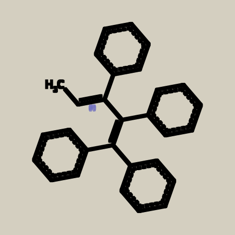 C/C=C(/C(=C(c1ccccc1)c1ccccc1)c1ccccc1)c1ccccc1